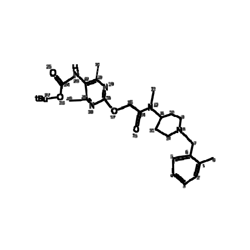 Cc1ccccc1CN1CCC(N(C)C(=O)COc2nc(C)c(NC(=O)OC(C)(C)C)c(C)n2)CC1